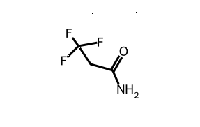 NC(=O)CC(F)(F)F